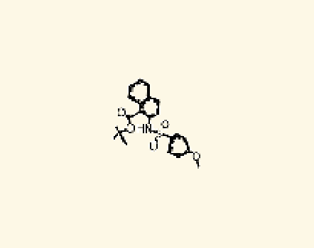 COc1ccc(S(=O)(=O)Nc2ccc3ccccc3c2C(=O)OC(C)(C)C)cc1